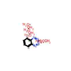 O.O.O.O.O.O.O.O.c1ccc2nnnnc2c1